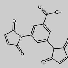 O=C(O)c1cc(C2C(=O)C=CC2=O)cc(N2C(=O)C=CC2=O)c1